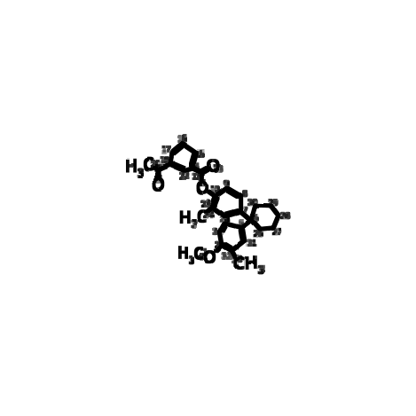 COc1ccc(C2(c3ccc(OC(=O)c4cccc(C(C)=O)c4)c(C)c3)CCCCC2)cc1C